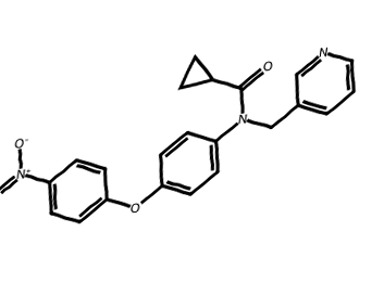 O=C(C1CC1)N(Cc1cccnc1)c1ccc(Oc2ccc([N+](=O)[O-])cc2)cc1